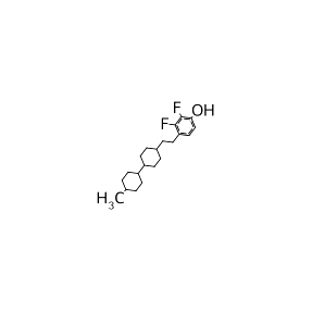 CC1CCC(C2CCC(CCc3ccc(O)c(F)c3F)CC2)CC1